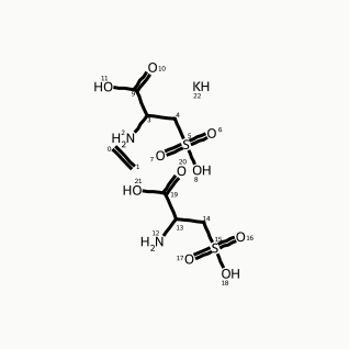 C=C.NC(CS(=O)(=O)O)C(=O)O.NC(CS(=O)(=O)O)C(=O)O.[KH]